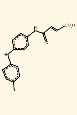 Cc1ccc(Nc2ccc(NC(=O)C=CC(=O)O)cc2)cc1